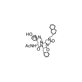 CC(=O)NC(Cc1ccc(O)cc1)C(=O)NC(Cc1ccccc1)C(=O)N1CC(=O)N(CCc2ccc3ccccc3c2)CC1CCCN